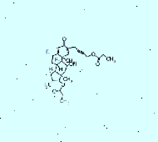 CCC(=O)OCC#CCC1=C[C@@]2(C)C(=CC1=O)[C@@H](F)C[C@H]1[C@@H]3C[C@@H](C)[C@H](OC(=O)CC)[C@@]3(C)C[C@H](O)[C@@]12F